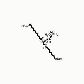 CCCCCCCCCC/C=C\CCCCCCCCCC(=O)O[C@H](COC(=O)CCCCCCCCCCCCCCCCCC)COP(=O)([O-])OCC[N+](C)(C)C